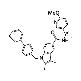 COc1ccc([C@H](C)NC(=O)c2ccc3c(c2)c(C)c(C)n3Cc2ccc(-c3ccccc3)cc2)cn1